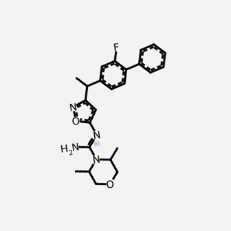 CC(c1ccc(-c2ccccc2)c(F)c1)c1cc(/N=C(\N)N2C(C)COCC2C)on1